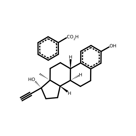 C#C[C@]1(O)CC[C@H]2[C@@H]3CCc4cc(O)ccc4[C@H]3CC[C@@]21C.O=C(O)c1ccccc1